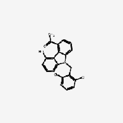 NC(=O)c1cccc2c1c1c(O)cccc1n2Cc1c(Cl)cccc1Cl